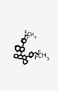 CC(F)(F)Cc1ccc(-c2ccc(-c3c4ccccc4cc4c3cc(-c3ccc(CC(C)(F)F)cc3)c3ccccc34)c3ccccc23)cc1